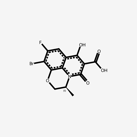 C[C@H]1COc2c(Br)c(F)cc3c(O)c(C(=O)O)c(=O)n1c23